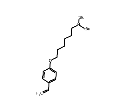 C=Cc1ccc(OCCCCCCN(C(C)(C)C)C(C)(C)C)cc1